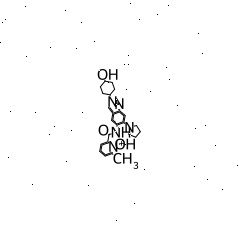 Cc1cccc(C(=O)Nc2cc3cn([C@H]4CC[C@H](O)CC4)nc3cc2N2CCCC2)[n+]1O